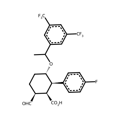 CC(O[C@H]1CC[C@H](C=O)[C@H](C(=O)O)[C@@H]1c1ccc(F)cc1)c1cc(C(F)(F)F)cc(C(F)(F)F)c1